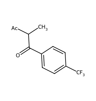 CC(=O)C(C)C(=O)c1ccc(C(F)(F)F)cc1